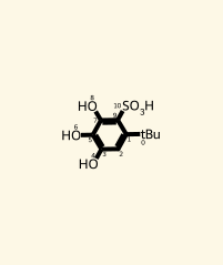 CC(C)(C)c1cc(O)c(O)c(O)c1S(=O)(=O)O